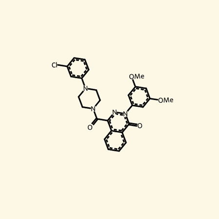 COc1cc(OC)cc(-n2nc(C(=O)N3CCN(c4cccc(Cl)c4)CC3)c3ccccc3c2=O)c1